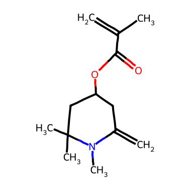 C=C(C)C(=O)OC1CC(=C)N(C)C(C)(C)C1